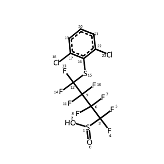 O=S(O)C(F)(F)C(F)(F)C(F)(F)C(F)(F)Sc1c(Cl)cccc1Cl